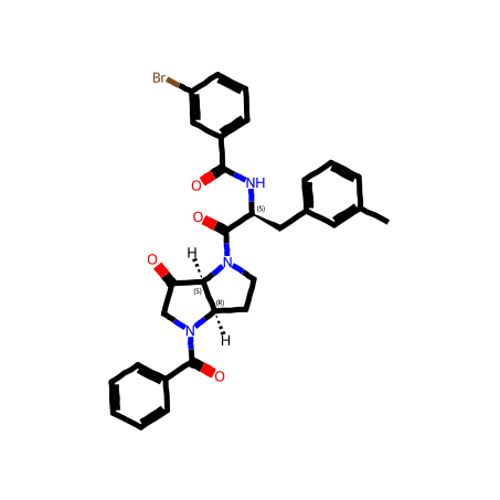 Cc1cccc(C[C@H](NC(=O)c2cccc(Br)c2)C(=O)N2CC[C@@H]3[C@H]2C(=O)CN3C(=O)c2ccccc2)c1